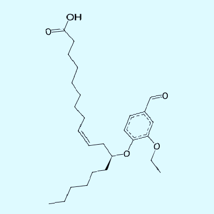 CCCCCC[C@@H](C/C=C\CCCCCCCC(=O)O)Oc1ccc(C=O)cc1OCC